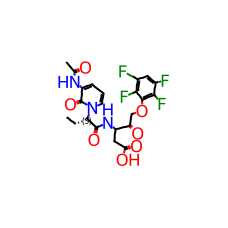 CC[C@@H](C(=O)NC(CC(=O)O)C(=O)COc1c(F)c(F)cc(F)c1F)n1cccc(NC(C)=O)c1=O